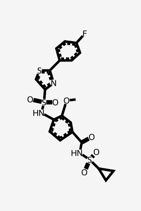 COc1cc(C(=O)NS(=O)(=O)C2CC2)ccc1NS(=O)(=O)c1csc(-c2ccc(F)cc2)n1